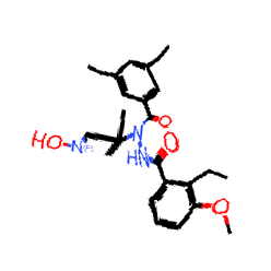 CCc1c(OC)cccc1C(=O)NN(C(=O)c1cc(C)cc(C)c1)C(C)(C)/C=N/O